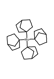 C1C[C]2([Mo]([C]34CCC(CC3)C4)([C]34CCC(CC3)C4)[C]34CCC(CC3)C4)CCC1C2